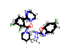 C[C@@H]1CCCN(C(=O)c2c(-c3ncccn3)ccc(F)c2F)[C@@H]1CNc1nc2ccc(F)cc2o1